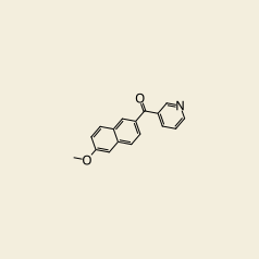 COc1ccc2cc(C(=O)c3cccnc3)ccc2c1